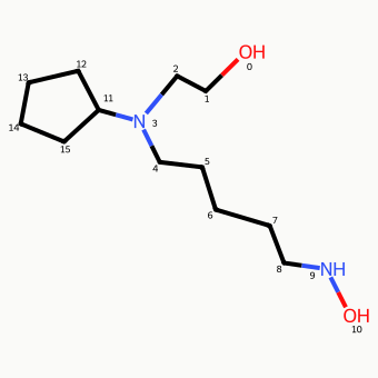 OCCN(CCCCCNO)C1CCCC1